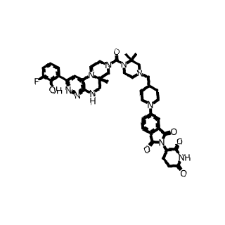 CC1(C)CN(CC2CCN(c3ccc4c(c3)C(=O)N(C3CCC(=O)NC3=O)C4=O)CC2)CCN1C(=O)N1CCN2c3cc(-c4cccc(F)c4O)nnc3NCC2(C)C1